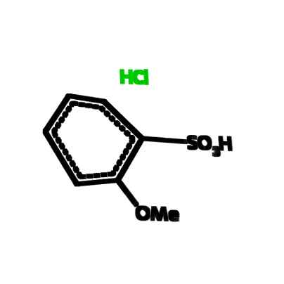 COc1ccccc1S(=O)(=O)O.Cl